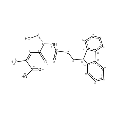 CC(=CC(=O)[C@H](CO)NC(=O)OCC1c2ccccc2-c2ccccc21)C(=O)O